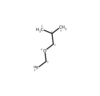 CC(C)COC[18F]